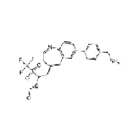 NCc1ccc(-c2ccc3c(c2)C=C(CC(OC=O)S(=O)(=O)C(F)(F)F)CC=N3)cc1